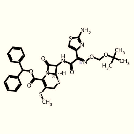 CSC1=C(C(=O)OC(c2ccccc2)c2ccccc2)N2C(=O)C(NC(=O)/C(=N/OCOC(C)(C)C)c3csc(N)n3)[C@H]2SC1